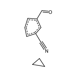 C1CC1.N#Cc1cccc(C=O)c1